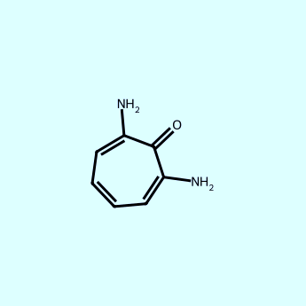 Nc1ccccc(N)c1=O